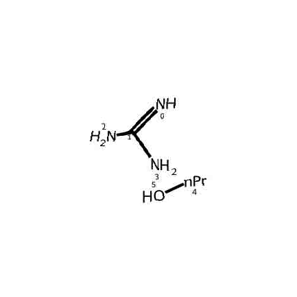 N=C(N)N.[CH2]CCO